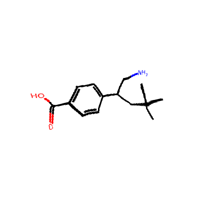 CC(C)(C)CC(CN)c1ccc(C(=O)O)cc1